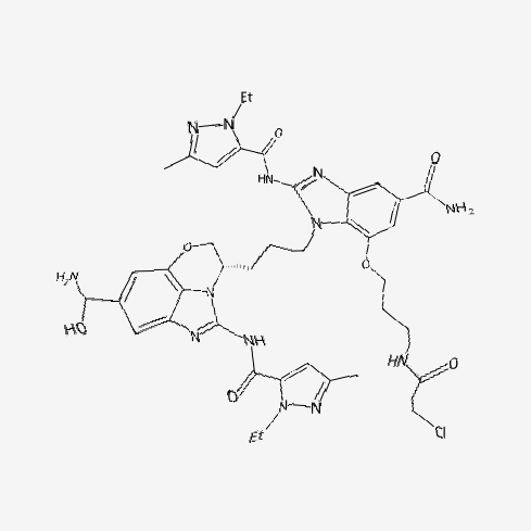 CCn1nc(C)cc1C(=O)Nc1nc2cc(C(N)=O)cc(OCCCNC(=O)CCl)c2n1CCC[C@H]1COc2cc(C(N)O)cc3nc(NC(=O)c4cc(C)nn4CC)n1c23